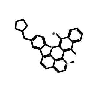 Cc1c2ccccc2c(C(C)(C)C)c2c1c1c3c(ccc4c5cc(CC6CCCC6)ccc5n2c43)cc[n+]1C